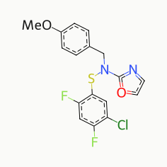 COc1ccc(CN(Sc2cc(Cl)c(F)cc2F)c2ncco2)cc1